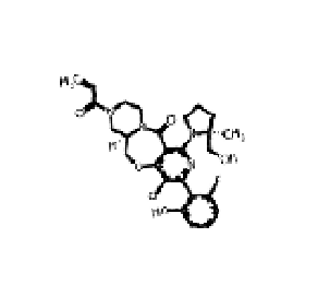 C=CC(=O)N1CCN2C(=O)c3c(N4CCC[C@@]4(C)CO)nc(-c4c(O)cccc4F)c(Cl)c3OC[C@H]2C1